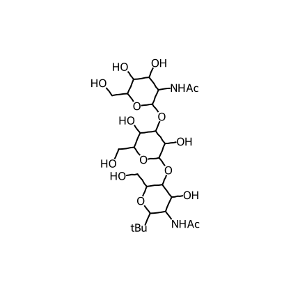 CC(=O)NC1C(OC2C(O)C(CO)OC(OC3C(CO)OC(C(C)(C)C)C(NC(C)=O)C3O)C2O)OC(CO)C(O)C1O